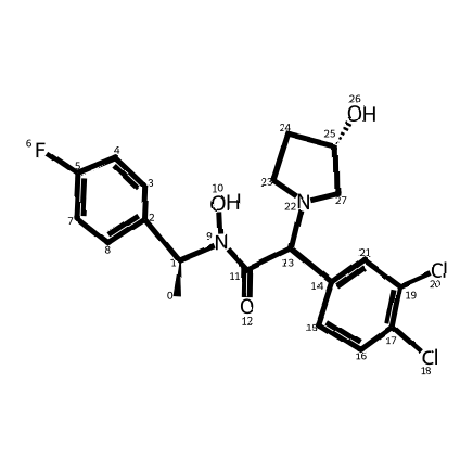 C[C@@H](c1ccc(F)cc1)N(O)C(=O)C(c1ccc(Cl)c(Cl)c1)N1CC[C@H](O)C1